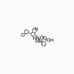 COc1cccc(-c2ccc(CNC(=O)NC3(C)C=CC=CC3C(=O)O)c3cnccc23)c1